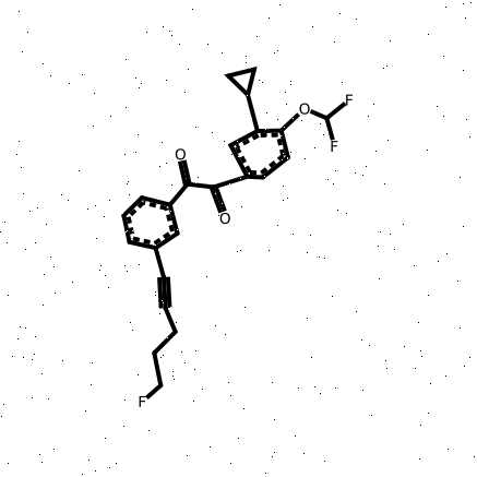 O=C(C(=O)c1ccc(OC(F)F)c(C2CC2)c1)c1cccc(C#CCCCF)c1